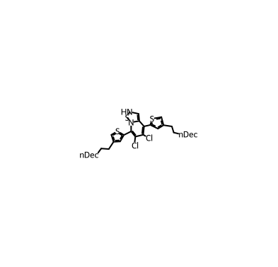 CCCCCCCCCCCCc1csc(C2=C(Cl)C(Cl)=C(c3cc(CCCCCCCCCCCC)cs3)N3SNC=C23)c1